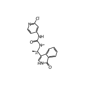 C[C@H](c1c[nH]c(=O)c2ccccc12)N(C)C(=O)Nc1ccnc(Cl)c1